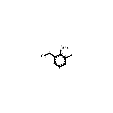 COc1c(C)cccc1CCl